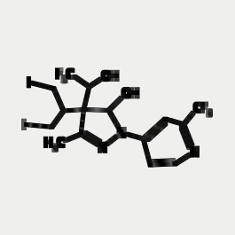 CC1=NN(c2ccnc(C(F)(F)F)c2)C(O)C1(C(CI)CI)C(O)C(F)(F)F